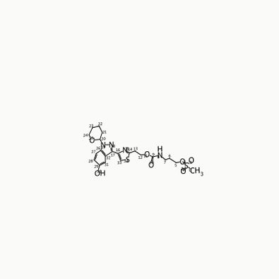 CS(=O)(=O)OCCCNC(=O)OCCc1nc(-c2nn(C3CCCCO3)c3ccc(O)cc23)cs1